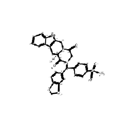 NS(=O)(=O)c1ccc(C(c2ccc3c(c2)OCO3)N2CC(=O)N3Cc4[nH]c5ccccc5c4C[C@@H]3C2=O)cc1